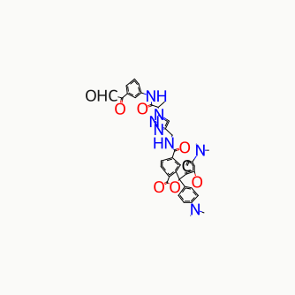 CC(C(=O)Nc1cccc(C(=O)C=O)c1)n1cc(CNC(=O)c2ccc3c(c2)C2(OC3=O)c3ccc(N(C)C)cc3Oc3cc(N(C)C)ccc32)nn1